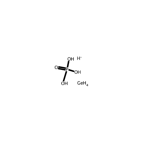 O=P(O)(O)O.[GeH4].[H-]